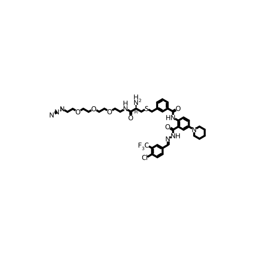 [N-]=[N+]=NCCOCCOCCOCCNC(=O)[C@@H](N)CSCc1cccc(C(=O)Nc2ccc(N3CCCCC3)cc2C(=O)NN=Cc2ccc(Cl)c(C(F)(F)F)c2)c1